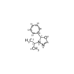 CC(C)N1N=COC1c1ccccc1